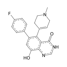 CN1CC=C(c2c(-c3ccc(F)cc3)cc(O)c3nc[nH]c(=O)c23)CC1